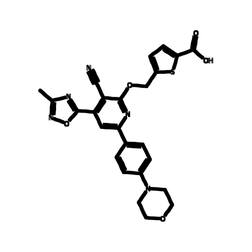 Cc1noc(-c2cc(-c3ccc(N4CCOCC4)cc3)nc(OCc3ccc(C(=O)O)s3)c2C#N)n1